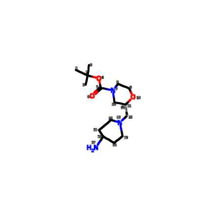 CC(C)(C)OC(=O)N1CCO[C@H](CN2CCC(N)CC2)C1